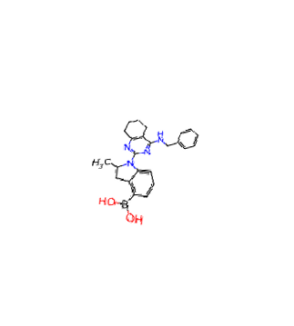 CC1Cc2c(B(O)O)cccc2N1c1nc2c(c(NCc3ccccc3)n1)CCCC2